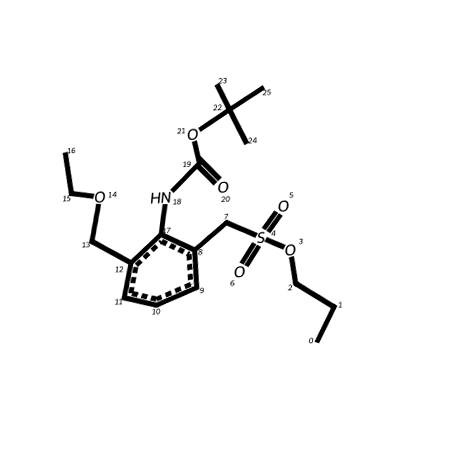 CCCOS(=O)(=O)Cc1cccc(COCC)c1NC(=O)OC(C)(C)C